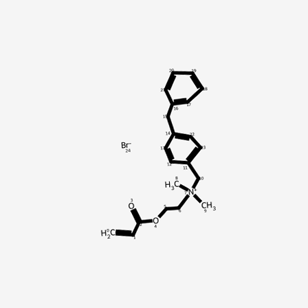 C=CC(=O)OCC[N+](C)(C)Cc1ccc(Cc2ccccc2)cc1.[Br-]